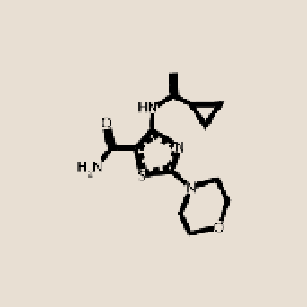 C=C(Nc1nc(N2CCOCC2)sc1C(N)=O)C1CC1